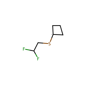 FC(F)CS[C]1CCC1